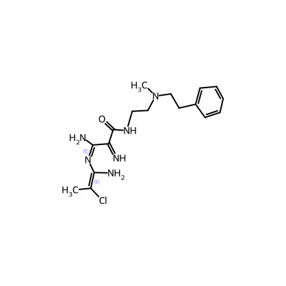 C/C(Cl)=C(N)\N=C(\N)C(=N)C(=O)NCCN(C)CCc1ccccc1